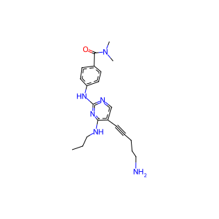 CCCNc1nc(Nc2ccc(C(=O)N(C)C)cc2)ncc1C#CCCCN